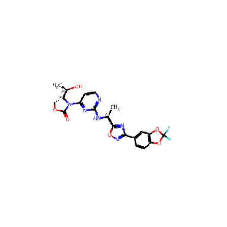 C[C@H](Nc1nccc(N2C(=O)OC[C@@H]2[C@@H](C)O)n1)c1nc(-c2ccc3c(c2)OC(F)(F)O3)no1